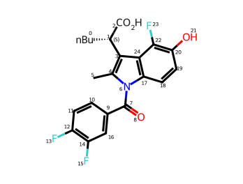 CCCC[C@H](C(=O)O)c1c(C)n(C(=O)c2ccc(F)c(F)c2)c2ccc(O)c(F)c12